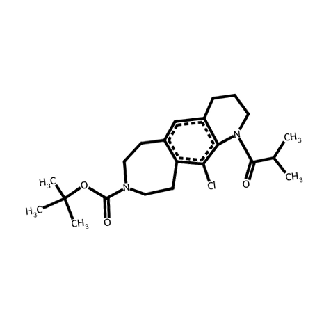 CC(C)C(=O)N1CCCc2cc3c(c(Cl)c21)CCN(C(=O)OC(C)(C)C)CC3